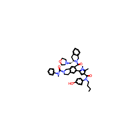 CCCCN(C(=O)c1cc(-c2cc3c(cc2C(=O)N2Cc4ccccc4C[C@H]2CN2CCOCC2)CN(C(=O)N(C)c2ccccc2)CC3)n(C)c1C)c1ccc(O)cc1